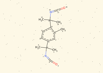 Cc1cc(C(C)(C)N=C=O)ccc1C(C)(C)N=C=O